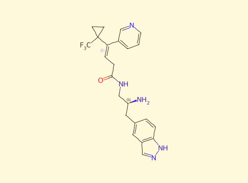 N[C@H](CNC(=O)C/C=C(\c1cccnc1)C1(C(F)(F)F)CC1)Cc1ccc2[nH]ncc2c1